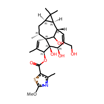 COc1nc(C)c(C(=O)O[C@H]2C(C)=C[C@]34C(O)[C@@H](C=C(CO)[C@@H](O)[C@]23O)[C@H]2[C@@H](C[C@H]4C)C2(C)C)s1